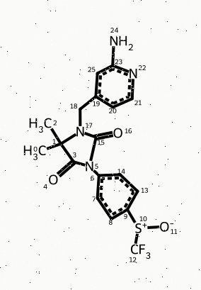 CC1(C)C(=O)N(c2ccc([S+]([O-])C(F)(F)F)cc2)C(=O)N1Cc1ccnc(N)c1